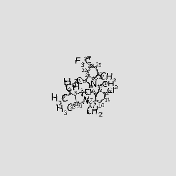 C=C(C)C1CCN(C(=C)c2ccc(Cl)c(C(=C)n3cc(C)c4cc(C(F)(F)F)cc(C)c43)c2Cl)CC1C